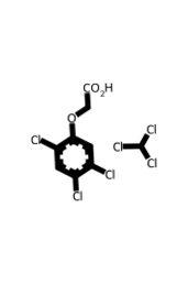 ClC(Cl)Cl.O=C(O)COc1cc(Cl)c(Cl)cc1Cl